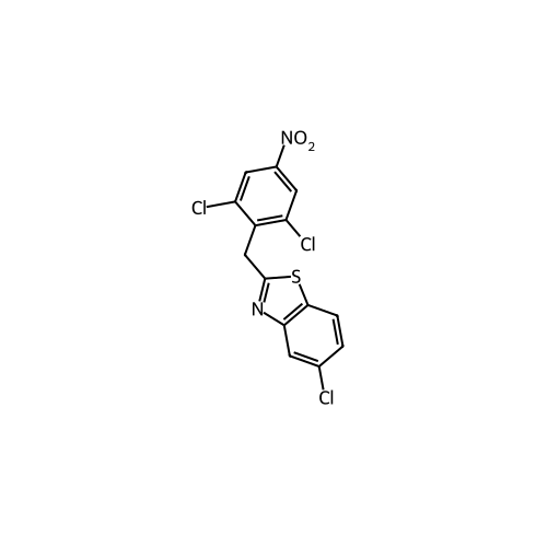 O=[N+]([O-])c1cc(Cl)c(Cc2nc3cc(Cl)ccc3s2)c(Cl)c1